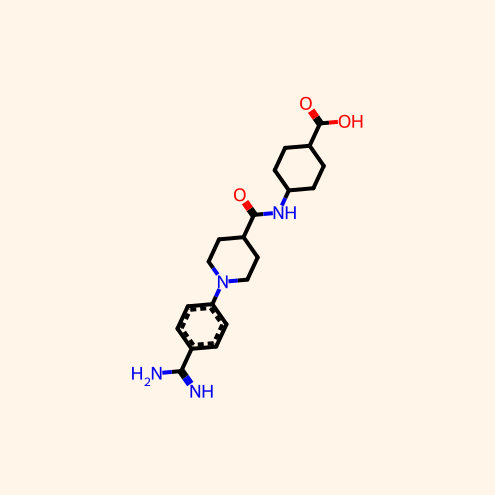 N=C(N)c1ccc(N2CCC(C(=O)NC3CCC(C(=O)O)CC3)CC2)cc1